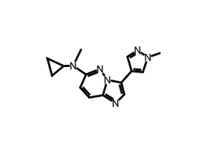 CN(c1ccc2ncc(-c3cnn(C)c3)n2n1)C1CC1